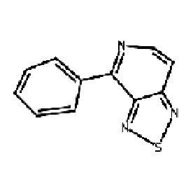 c1ccc(-c2nccc3nsnc23)cc1